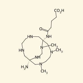 CN1CCN(C)C[C@]2(NC(=O)CCCC(=O)O)CNCCNC[C@](N)(C1)NCCN2C